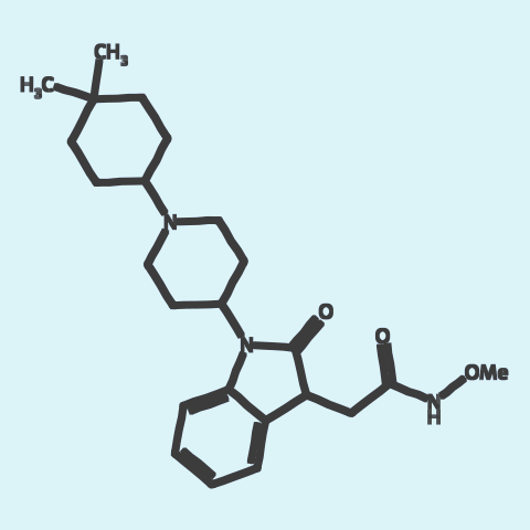 CONC(=O)CC1C(=O)N(C2CCN(C3CCC(C)(C)CC3)CC2)c2ccccc21